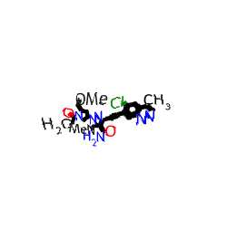 C=CC(=O)N1C[C@@H](n2nc(C#Cc3cc4nncc(C)c4cc3Cl)c(C(N)=O)c2NC)C/C1=C\OC